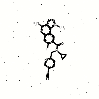 C#Cc1ccc(CN(C(=O)c2cc3c(cc2F)nc(N)c2cnn(C)c23)C2CC2)nc1